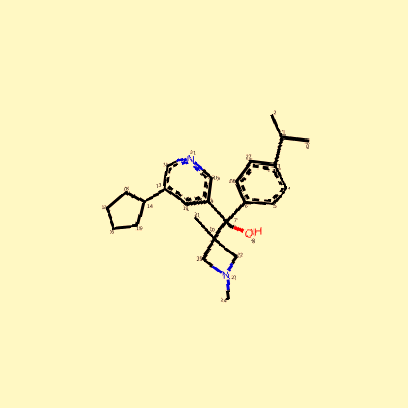 CC(C)c1ccc(C(O)(c2cncc(C3CCCC3)c2)C2(C)CN(C)C2)cc1